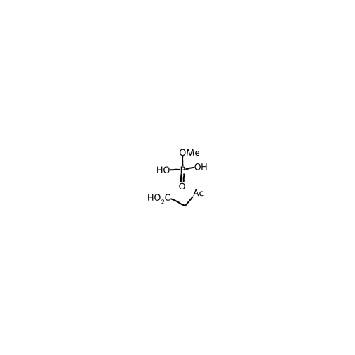 CC(=O)CC(=O)O.COP(=O)(O)O